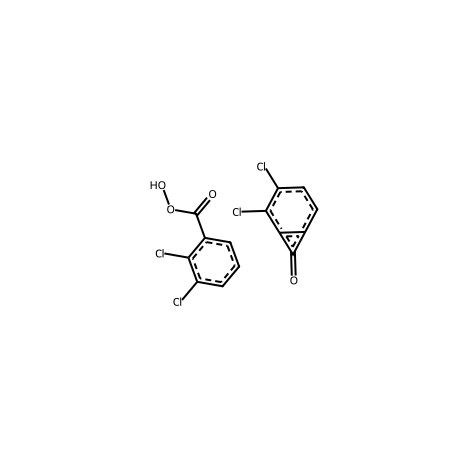 O=C(OO)c1cccc(Cl)c1Cl.O=c1c2ccc(Cl)c(Cl)c12